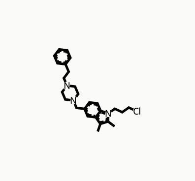 Cc1c(C)n(CCCCl)c2ccc(CN3CCN(CCc4ccccc4)CC3)cc12